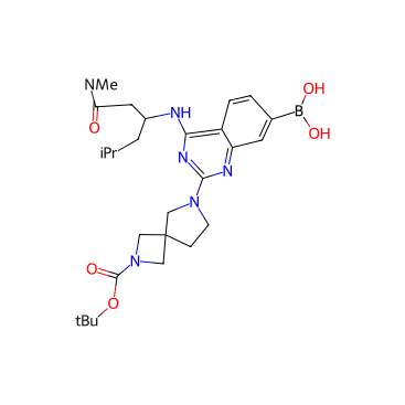 CNC(=O)CC(CC(C)C)Nc1nc(N2CCC3(CN(C(=O)OC(C)(C)C)C3)C2)nc2cc(B(O)O)ccc12